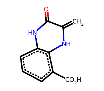 C=C1Nc2c(cccc2C(=O)O)NC1=O